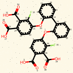 O=C(O)c1ccc(Oc2ccccc2-c2ccccc2Oc2ccc(C(=O)O)c(C(=O)O)c2F)c(F)c1C(=O)O